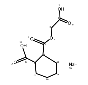 O=C(O)COC(=O)C1CCCCC1C(=O)O.[NaH]